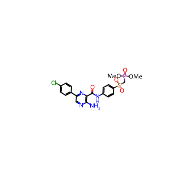 COP(=O)(CS(=O)(=O)c1ccc(NC(=O)c2nc(-c3ccc(Cl)cc3)cnc2N)cc1)OC